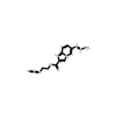 [N-]=[N+]=NCCOC(=O)c1cn2cc(N=NN)ccc2n1